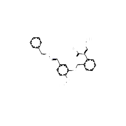 COC=C(C(=O)O)c1ccccc1COc1cc(/C=N/OCc2ccccc2)ccc1OC